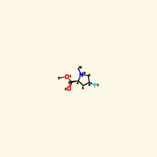 COC(=O)[C@@H]1C[C@H](F)CN1C